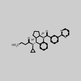 O=C(O)CCC(=O)N(C1CC1)[C@H]1c2ccccc2N(C(=O)c2cccc(-c3ncccn3)c2)[C@@H]2CCC[C@@H]21